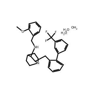 COc1ccccc1CNC1C2CCN(CC2)C1Cc1ccccc1-c1cccc(C(F)(F)F)c1.O.O.O